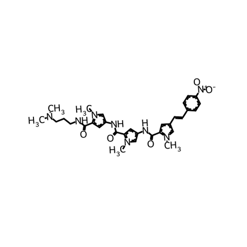 CN(C)CCCNC(=O)c1cc(NC(=O)c2cc(NC(=O)c3cc(/C=C/c4ccc([N+](=O)[O-])cc4)cn3C)cn2C)cn1C